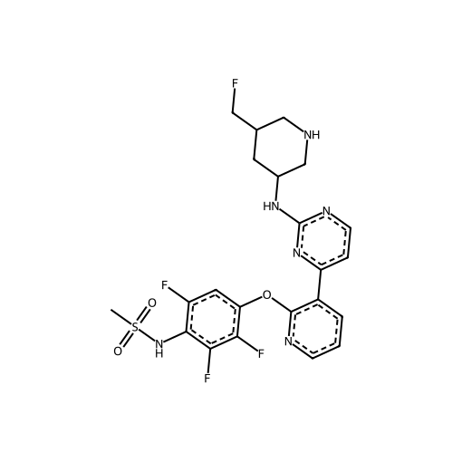 CS(=O)(=O)Nc1c(F)cc(Oc2ncccc2-c2ccnc(NC3CNCC(CF)C3)n2)c(F)c1F